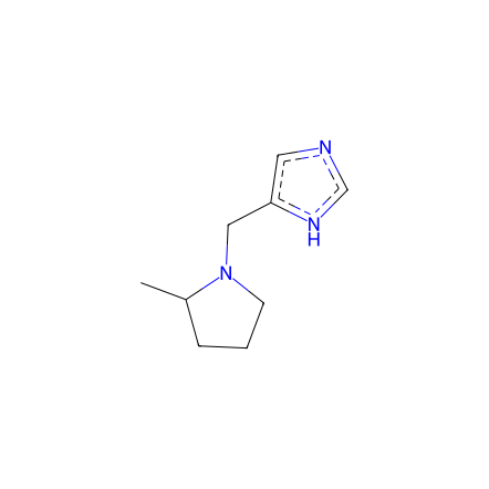 CC1CCCN1Cc1cnc[nH]1